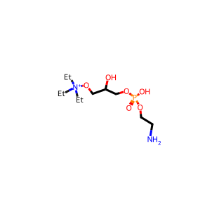 CC[N+](CC)(CC)OCC(O)COP(=O)(O)OCCN